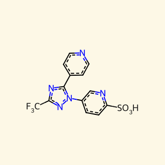 O=S(=O)(O)c1ccc(-n2nc(C(F)(F)F)nc2-c2ccncc2)cn1